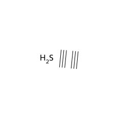 C#C.C#C.S